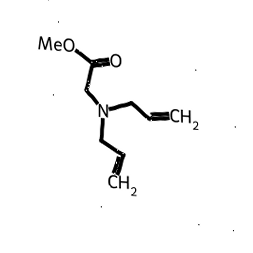 C=CCN(CC=C)CC(=O)OC